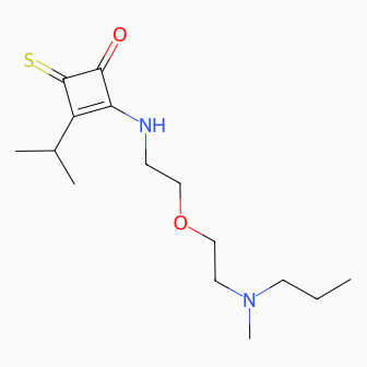 CCCN(C)CCOCCNc1c(C(C)C)c(=S)c1=O